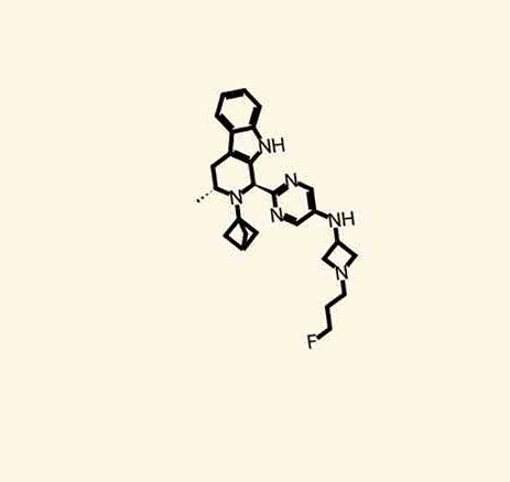 C[C@@H]1Cc2c([nH]c3ccccc23)[C@@H](c2ncc(NC3CN(CCCF)C3)cn2)N1C12CC(C1)C2